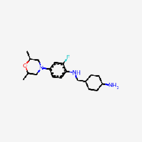 CC1CN(c2ccc(NCC3CCC(N)CC3)c(F)c2)CC(C)O1